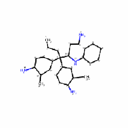 CCCC(C1CCC(N)C(C)C1)(C1CCC(N)C(C)C1)C(CCN)NC1CCCCC1